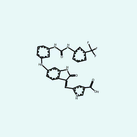 O=C(Nc1cccc(Nc2ccc3c(c2)NC(=O)C3=Cc2cc(C(=O)O)c[nH]2)c1)Nc1cccc(C(F)(F)F)c1